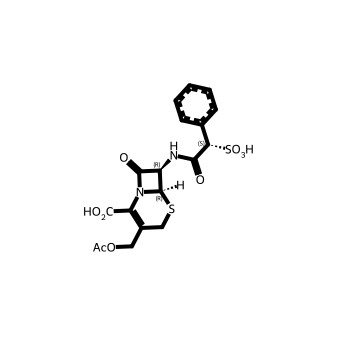 CC(=O)OCC1=C(C(=O)O)N2C(=O)[C@@H](NC(=O)[C@H](c3ccccc3)S(=O)(=O)O)[C@H]2SC1